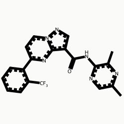 Cc1cnc(NC(=O)c2cnn3ccc(-c4ccccc4C(F)(F)F)nc23)c(C)n1